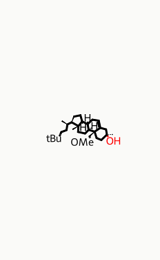 COC[C@]12CC[C@](C)(O)CC1=CC[C@@H]1[C@@H]2CC[C@]2(C)[C@@H]([C@H](C)CCC(C)(C)C)CC[C@@H]12